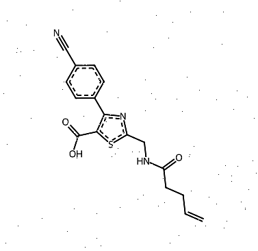 C=CCCC(=O)NCc1nc(-c2ccc(C#N)cc2)c(C(=O)O)s1